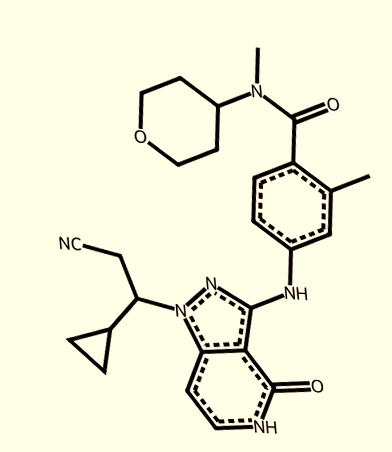 Cc1cc(Nc2nn(C(CC#N)C3CC3)c3cc[nH]c(=O)c23)ccc1C(=O)N(C)C1CCOCC1